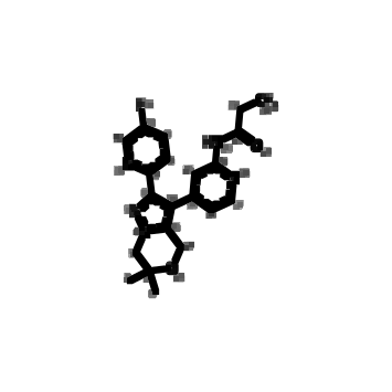 CC1(C)Cn2nc(-c3ccc(F)cn3)c(-c3ccnc(NC(=O)CC(F)(F)F)c3)c2CO1